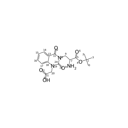 CC(C)(C)OC(=O)C(N)Cn1c(=O)c2ccccc2n(CC(=O)O)c1=O